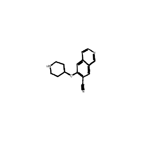 N#Cc1cc2cnccc2cc1OC1CCNCC1